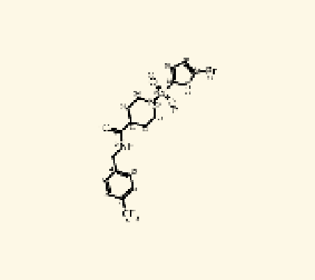 O=C(NCc1ccc(C(F)(F)F)cc1)C1CCN(S(=O)(=O)c2ccc(Br)s2)CC1